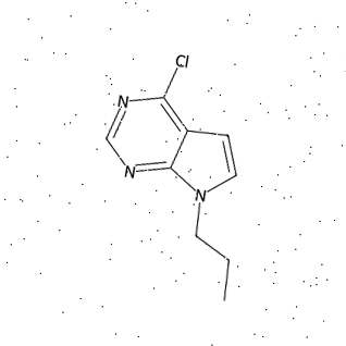 CCCn1ccc2c(Cl)ncnc21